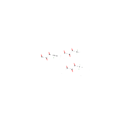 O=C(C(=O)C(F)(F)F)C(=O)C(F)(F)C(F)(F)F.O=C(C(=O)C(F)(F)F)C(=O)C(F)(F)C(F)(F)F.O=C(C(=O)C(F)(F)F)C(=O)C(F)(F)C(F)(F)F.[Eu+3]